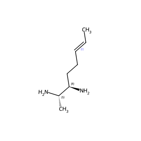 C/C=C/CC[C@@H](N)[C@H](C)N